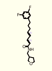 O=C(/C=C/C=C/CCCc1cc(F)cc(F)c1)NCC1CCOC1